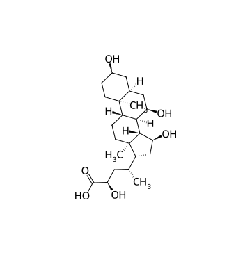 C[C@H](C[C@@H](O)C(=O)O)[C@H]1C[C@H](O)[C@H]2[C@@H]3[C@H](O)C[C@@H]4C[C@H](O)CC[C@]4(C)[C@H]3CC[C@@]21C